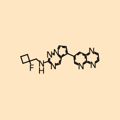 FC1(CNc2ncc3c(-c4cnc5nccnc5c4)ccn3n2)CCC1